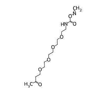 C=NOC(=O)NCCOCCOCCOCCOCCC(C)=O